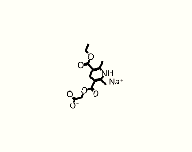 CCOC(=O)C1=C(C)NC(C)=C(C(=O)OCC(=O)[O-])C1.[Na+]